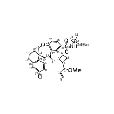 C=C[C@H](OC)[C@@H]1CC[C@H]1CN1C[C@@]2(CCCc3cc(Cl)ccc32)COc2ccc(S(=O)(=O)N[Si](C)(C)C(C)(C)C)cc21